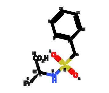 CC(C)[C@@H](NS(=O)(=O)Cc1ccccc1)C(=O)O